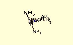 CN(C)c1ccc(/N=N/c2n(CCCCN)cc[n+]2CCCCN)cc1